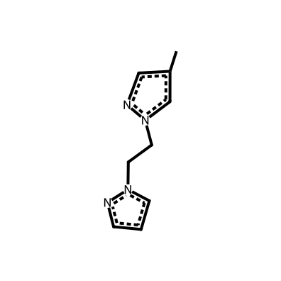 Cc1cnn(CCn2cccn2)c1